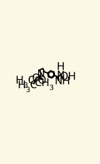 CC(C)(C)OC(=O)N1CCC1c1ccc(C(=N)NO)cc1